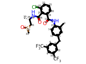 Cc1cc(Cc2cc(C(F)(F)F)cc(C(F)(F)F)c2)ccc1NC(=O)c1cccc(Cl)c1C(=O)N[C@@H](C)C[S+](C)[O-]